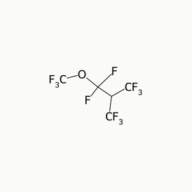 FC(F)(F)OC(F)(F)C(C(F)(F)F)C(F)(F)F